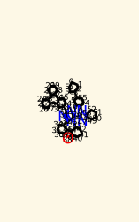 c1ccc(-c2ccc(-n3c(-c4nc(-c5ccc6c7ccccc7c7ccccc7c6c5)nc(-c5cccc6oc7ccccc7c56)n4)nc4ccccc43)cc2)cc1